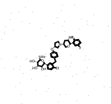 CCc1ccc([C@@H]2O[C@H](SC)[C@@H](O)[C@H](O)[C@H]2O)cc1Cc1ccc(O[C@@H]2CCN([C@H]3CO[C@H](c4cc(F)ccc4F)[C@@H](N)C3)C2)cc1